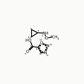 CONC1CC1.O=C(O)c1cnno1